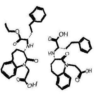 CCOC(=O)[C@H](CCc1ccccc1)N[C@H]1CCc2ccccc2N(CC(=O)O)C1=O.O=C(O)CN1C(=O)[C@@H](N[C@@H](CCc2ccccc2)C(=O)O)CCc2ccccc21